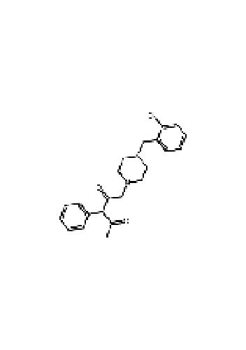 CC(=O)C(C(=O)CN1CCN(Cc2ccccc2Cl)CC1)c1ccccc1